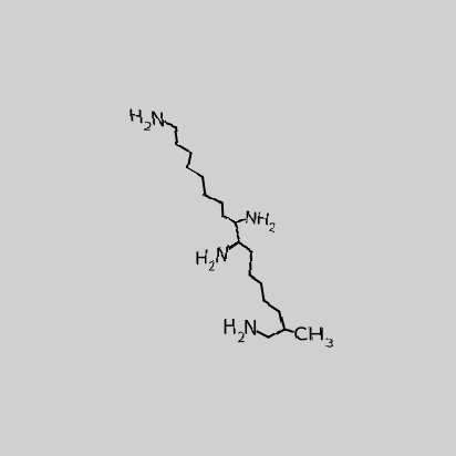 CC(CN)CCCCCC(N)C(N)CCCCCCCCN